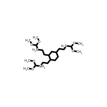 COC(OC)[SiH2]CCC1CCC(CC[SiH2]C(OC)OC)C(CC[SiH2]C(OC)OC)C1